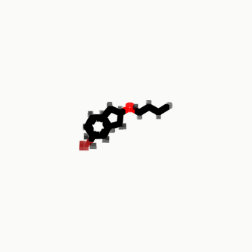 CCCCOC1Cc2ccc(Br)cc2C1